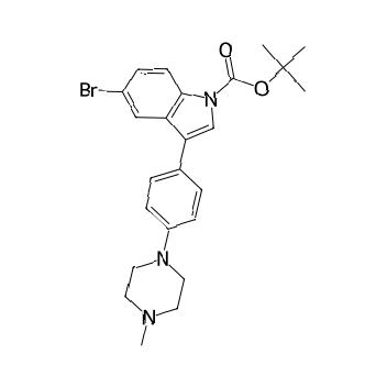 CN1CCN(c2ccc(-c3cn(C(=O)OC(C)(C)C)c4ccc(Br)cc34)cc2)CC1